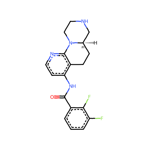 O=C(Nc1ccnc2c1CC[C@@H]1CNCCN21)c1cccc(F)c1F